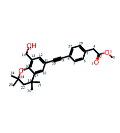 COC(=O)Cc1ccc(C#Cc2cc(CO)c3c(c2)C(C)(C)CC(C)(C)O3)cc1